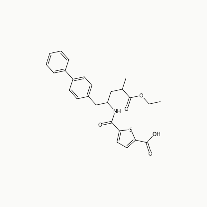 CCOC(=O)C(C)CC(Cc1ccc(-c2ccccc2)cc1)NC(=O)c1ccc(C(=O)O)s1